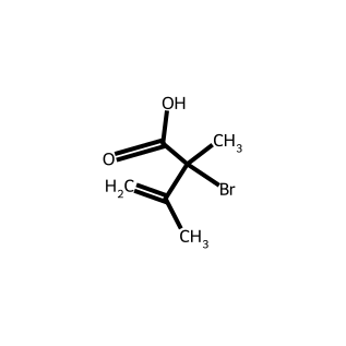 C=C(C)C(C)(Br)C(=O)O